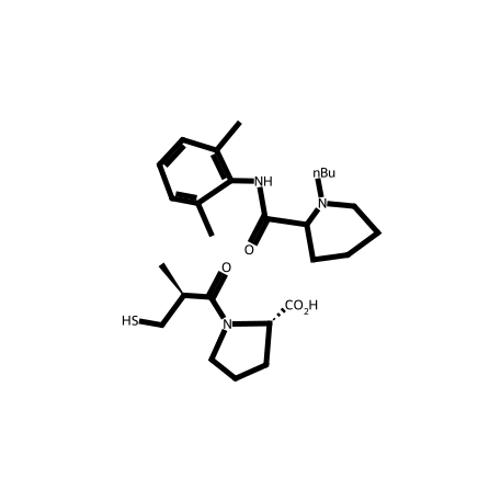 CCCCN1CCCCC1C(=O)Nc1c(C)cccc1C.C[C@H](CS)C(=O)N1CCC[C@H]1C(=O)O